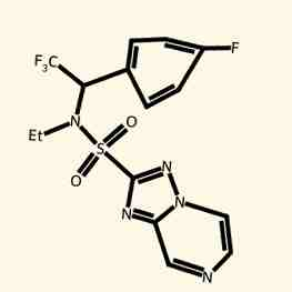 CCN(C(c1ccc(F)cc1)C(F)(F)F)S(=O)(=O)c1nc2cnccn2n1